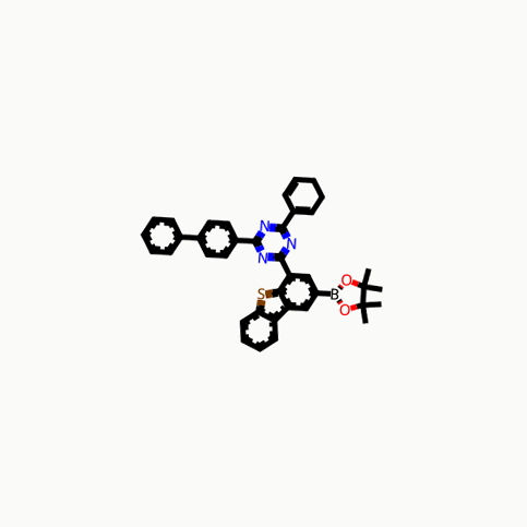 CC1(C)OB(c2cc(-c3nc(C4=CCCC=C4)nc(-c4ccc(-c5ccccc5)cc4)n3)c3sc4ccccc4c3c2)OC1(C)C